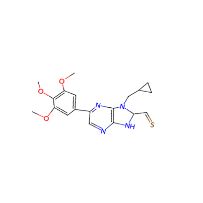 COc1cc(-c2cnc3c(n2)N(CC2CC2)C(C=S)N3)cc(OC)c1OC